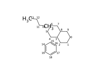 C1CCC2CCCCC2C1.CCCC.c1ccccc1